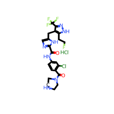 Cl.O=C(Nc1ccc(C(=O)N2CCNCC2)c(Cl)c1)c1ncc(Cc2c(C(F)(F)F)n[nH]c2CCF)[nH]1